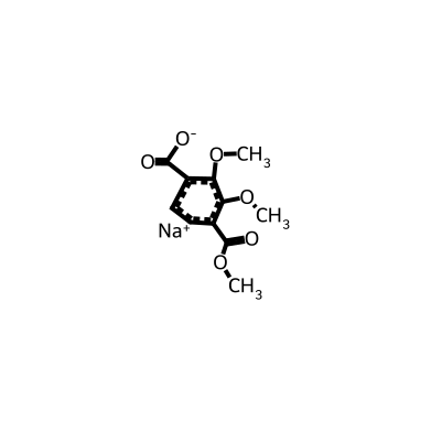 COC(=O)c1ccc(C(=O)[O-])c(OC)c1OC.[Na+]